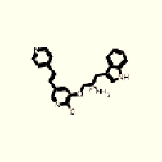 N[C@H](COc1cc(C=Cc2ccncc2)cnc1Cl)Cc1c[nH]c2ccccc12